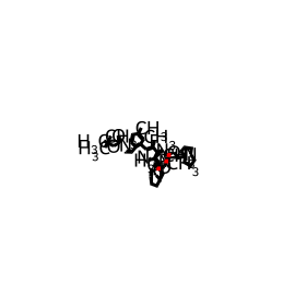 Cc1cc2c(ccn2C(=O)OC(C)(C)C)c(-c2ncc3c(N4CC5CCC(C4)N5C(=O)OC(C)(C)C)nc(OCC45CCCN4CCC5)nc3c2F)c1C